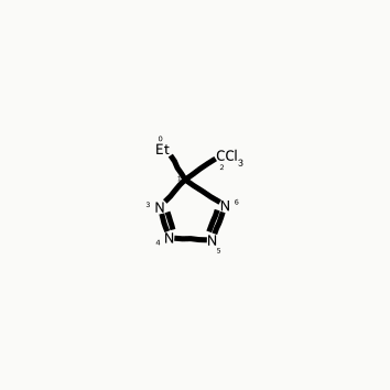 CCC1(C(Cl)(Cl)Cl)N=NN=N1